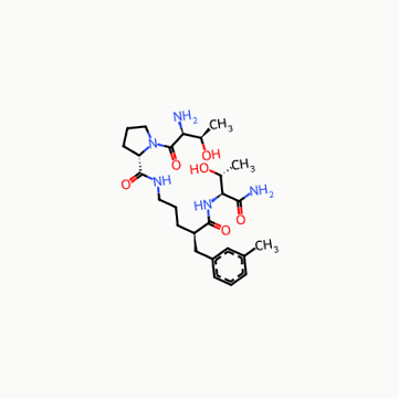 Cc1cccc(C[C@@H](CCCNC(=O)[C@@H]2CCCN2C(=O)[C@@H](N)[C@@H](C)O)C(=O)N[C@H](C(N)=O)[C@@H](C)O)c1